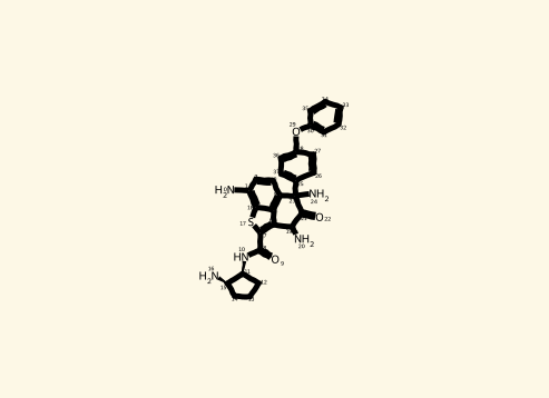 Nc1ccc2c3c(c(C(=O)N[C@H]4CCC[C@H]4N)sc13)C(N)C(=O)C2(N)c1ccc(Oc2ccccc2)cc1